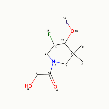 CC1(C)CN(C(=O)CO)CC(F)C1OI